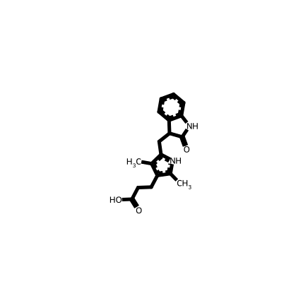 Cc1[nH]c(CC2C(=O)Nc3ccccc32)c(C)c1CCC(=O)O